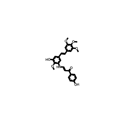 COc1cc(C=Cc2cc(O)c(OC)c(NC=CC(=O)c3ccc(O)cc3)c2)cc(OC)c1OC